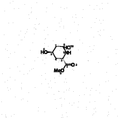 COC(=O)[C@@H]1C[C@@H](O)CCN1.Cl